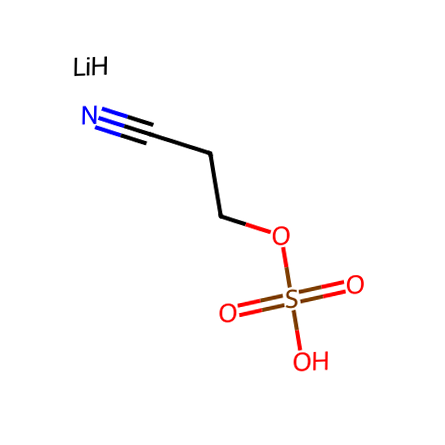 N#CCCOS(=O)(=O)O.[LiH]